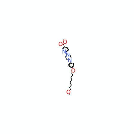 COCCCCCCCCOc1ccc(N2CCN(c3ccc(C(=O)OC)cn3)CC2)cc1